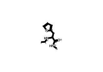 CCNC(Cc1cccs1)C(=O)NC